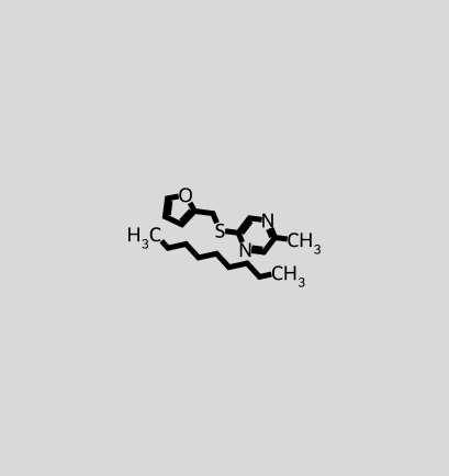 CCCCCCCCC.Cc1cnc(SCc2ccco2)cn1